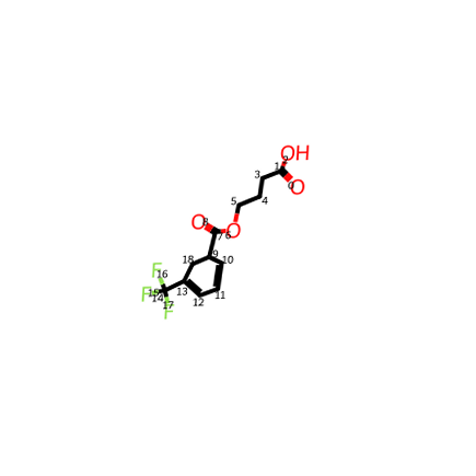 O=C(O)CCCOC(=O)C1C=CC=C(C(F)(F)F)C1